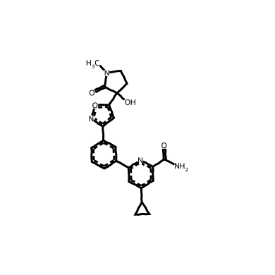 CN1CCC(O)(c2cc(-c3cccc(-c4cc(C5CC5)cc(C(N)=O)n4)c3)no2)C1=O